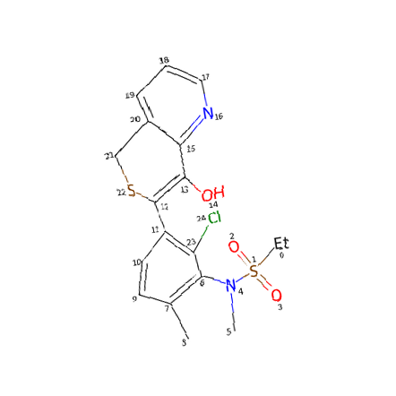 CCS(=O)(=O)N(C)c1c(C)ccc(C2=C(O)c3ncccc3CS2)c1Cl